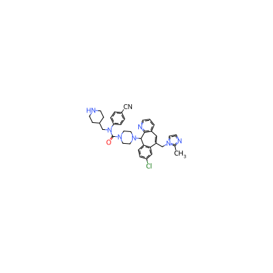 Cc1nccn1CC1=Cc2cccnc2C(N2CCN(C(=O)N(CC3CCNCC3)c3ccc(C#N)cc3)CC2)c2ccc(Cl)cc21